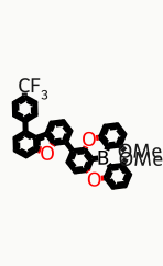 COc1cccc2c1B1c3c(OC)cccc3Oc3c(-c4cccc5c4oc4cccc(-c6ccc(C(F)(F)F)cc6)c45)ccc(c31)O2